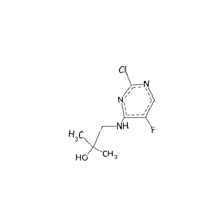 CC(C)(O)CNc1nc(Cl)ncc1F